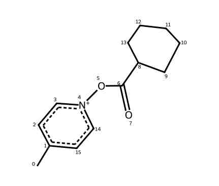 Cc1cc[n+](OC(=O)C2CCCCC2)cc1